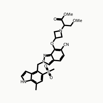 COCC(C(=O)OC)N1CC(Oc2c(C#N)ccc3cn(Cc4c(S(C)(=O)=O)cc(C)c5[nH]ccc45)nc23)C1